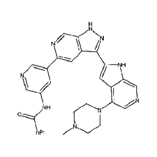 CCCC(=O)Nc1cncc(-c2cc3c(-c4cc5c(N6CCN(C)CC6)cncc5[nH]4)n[nH]c3cn2)c1